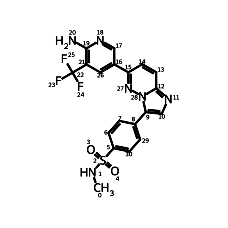 CNS(=O)(=O)c1ccc(-c2cnc3ccc(-c4cnc(N)c(C(F)(F)F)c4)nn23)cc1